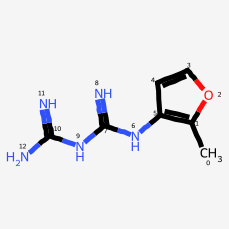 Cc1occc1NC(=N)NC(=N)N